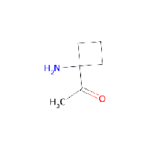 CC(=O)C1(N)CCC1